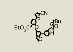 CCOC(=O)Cc1ccc(-c2ccc(C#N)s2)cc1OCc1cc(-c2cccc(CNC(=O)OC(C)(C)C)c2)c2occc2c1